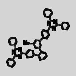 N#Cc1cc(-c2ccc(-c3nc(C4=CC=CCC4)nc(-c4ccccc4)n3)cc2)cc(-c2ccccc2-c2ccc(-c3nc(-c4ccccc4)nc(-c4ccccc4)n3)cc2)c1